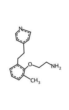 Cc1cccc(CCc2ccncc2)c1OCCN